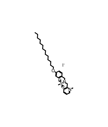 CCCCCCCCCCCCCCOc1ccc(CN(Cc2cccc[n+]2C)S(C)(=O)=O)cc1.[I-]